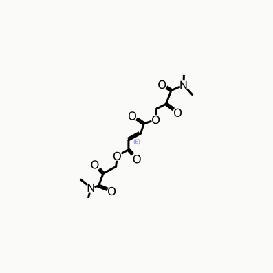 CN(C)C(=O)C(=O)COC(=O)/C=C/C(=O)OCC(=O)C(=O)N(C)C